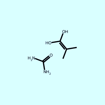 CC(C)=C(O)O.NC(N)=O